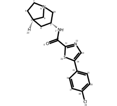 O=C(N[C@@H]1C[C@H]2CCN(C2)C1)c1ncc(-c2ccc(Cl)cc2)s1